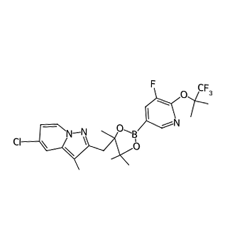 Cc1c(CC2(C)OB(c3cnc(OC(C)(C)C(F)(F)F)c(F)c3)OC2(C)C)nn2ccc(Cl)cc12